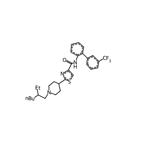 CCCCC(CC)CN1CCC(c2nc(C(=O)Nc3ccccc3-c3cccc(C(F)(F)F)c3)cs2)CC1